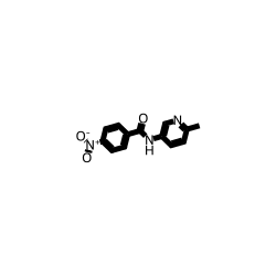 Cc1ccc(NC(=O)c2ccc([N+](=O)[O-])cc2)cn1